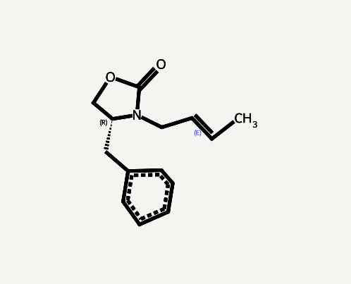 C/C=C/CN1C(=O)OC[C@H]1Cc1ccccc1